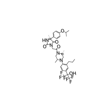 CCCc1cc(C(O)(C(F)(F)F)C(F)(F)F)ccc1N1C[C@@H](C)N(C(=O)CN2C(=O)N[C@@](C)(c3ccc(OC(C)C)cc3)C2=O)CC1C